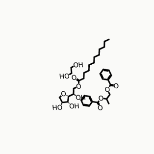 CC(COC(=O)c1ccccc1)OC(=O)c1ccccc1.CCCCCCCCCCCC(=O)OC[C@@H](O)[C@H]1OC[C@H](O)[C@H]1O.OCCO